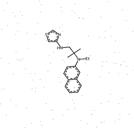 CCN(c1ccc2ccccc2c1)C(C)(C)CNc1cscn1